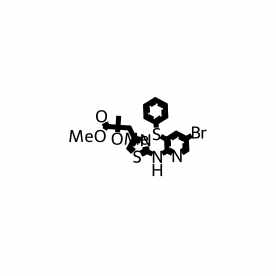 COC(=O)C(C)(Cc1csc(Nc2ncc(Br)cc2Sc2ccccc2)n1)OC